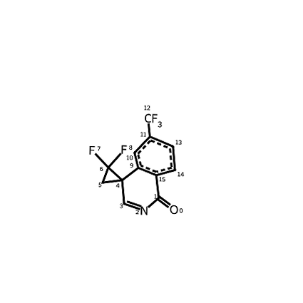 O=C1N=CC2(CC2(F)F)c2cc(C(F)(F)F)ccc21